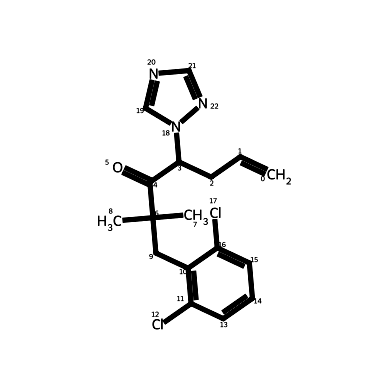 C=CCC(C(=O)C(C)(C)Cc1c(Cl)cccc1Cl)n1cncn1